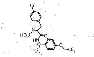 C[C@@H](NC(=O)C(Cc1ccc(Cl)cc1)NC(=O)O)c1ccc(OCC(F)(F)F)cn1